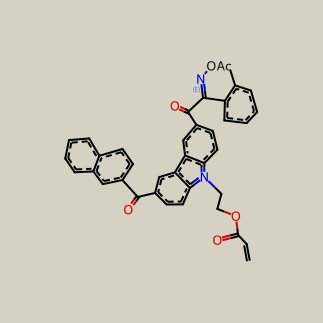 C=CC(=O)OCCn1c2ccc(C(=O)/C(=N/OC(C)=O)c3ccccc3C)cc2c2cc(C(=O)c3ccc4ccccc4c3)ccc21